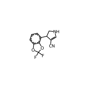 N#CC1=CNCC1c1cccc2c1OC(F)(F)O2